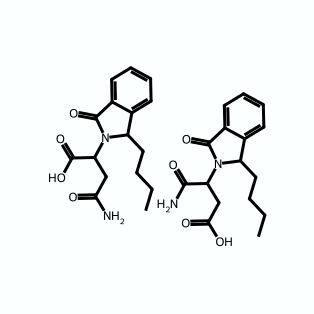 CCCCC1c2ccccc2C(=O)N1C(CC(=O)O)C(N)=O.CCCCC1c2ccccc2C(=O)N1C(CC(N)=O)C(=O)O